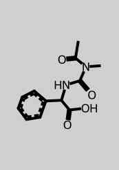 CC(=O)N(C)C(=O)NC(C(=O)O)c1ccccc1